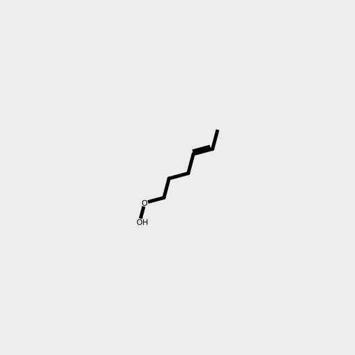 CC=CCCCOO